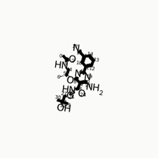 CC(=O)NC[C@@H](C)Oc1nc(-c2cccc(C#N)c2)nc(N)c1C(=O)NOCC(C)(C)O